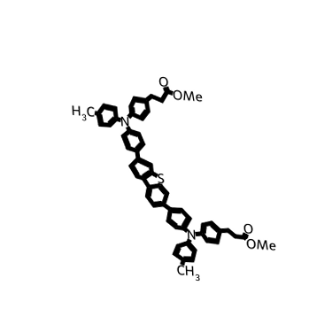 COC(=O)CCc1ccc(N(c2ccc(C)cc2)c2ccc(-c3ccc4c(c3)sc3cc(-c5ccc(N(c6ccc(C)cc6)c6ccc(CCC(=O)OC)cc6)cc5)ccc34)cc2)cc1